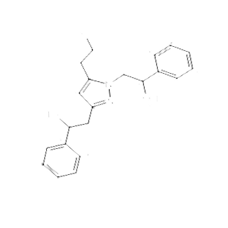 CCCc1cc(CC(O)c2ccccc2)nn1CC(O)c1ccccc1